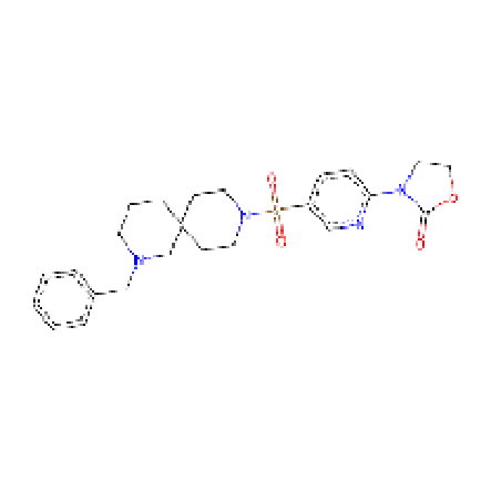 O=C1OCCN1c1ccc(S(=O)(=O)N2CCC3(CCCN(Cc4ccccc4)C3)CC2)cn1